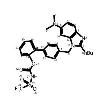 CCCCc1nc2ccc(N(C)C)cc2n1Cc1ccc(-c2ccccc2OC(=O)NS(=O)(=O)C(F)(F)F)cc1